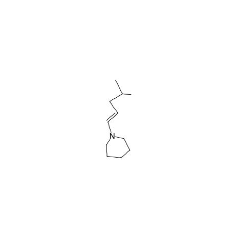 CC(C)CC=CN1CCCCC1